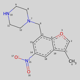 Cc1coc2c(CN3CCNCC3)cc([N+](=O)[O-])cc12